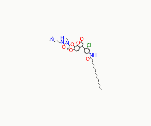 CCCCCCCCCCCCCC(=O)Nc1ccc(-c2cc(=O)oc3cc(O[C@H](C)C(=O)N(CC)C(=O)NCCCN(C)C)ccc23)c(Cl)c1